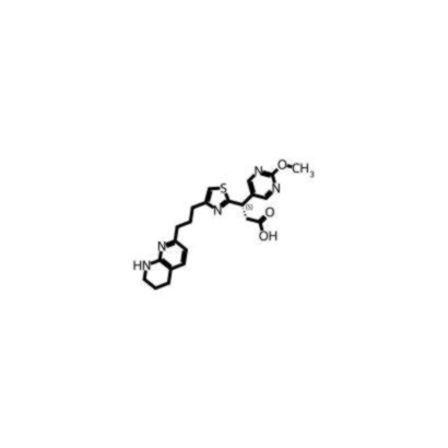 COc1ncc([C@H](CC(=O)O)c2nc(CCCc3ccc4c(n3)NCCC4)cs2)cn1